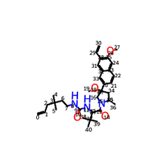 C=CCC(C)(C)CCNC(=O)N[C@H](C(=O)N1C[C@](OC)(c2ccc3cc(OC)c(C=C)cc3c2)C[C@H]1C)C(C)(C)C